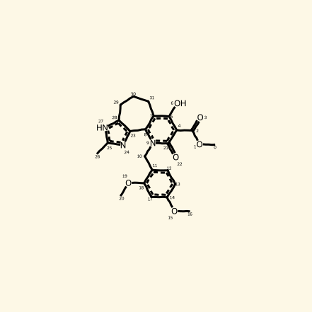 COC(=O)c1c(O)c2c(n(Cc3ccc(OC)cc3OC)c1=O)-c1nc(C)[nH]c1CCC2